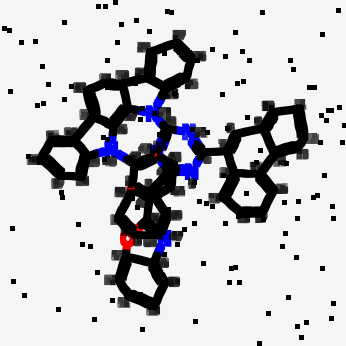 c1ccc(-c2nc(-c3cc4ccccc4c4ccccc34)nc(-n3c4ccccc4c4ccc5c6ccccc6n(-c6cccc(-c7nc8ccccc8o7)c6)c5c43)n2)cc1